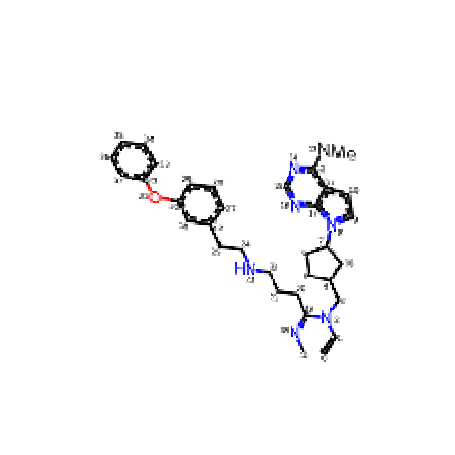 C=CN(CC1CCC(n2ccc3c(NC)ncnc32)C1)/C(CCCNCCc1cccc(Oc2ccccc2)c1)=N\C